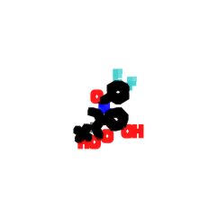 Cc1c([C@H](CC(C)(C)C)C(=O)O)c2cc(O)ccc2n1C(=O)c1ccc(F)c(F)c1